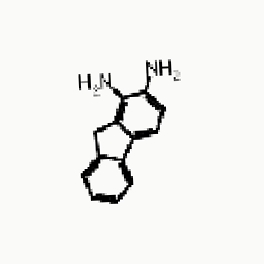 Nc1ccc2c(c1N)Cc1ccccc1-2